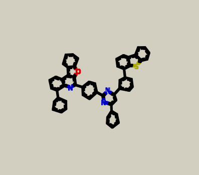 c1ccc(-c2cc(-c3cccc(-c4cccc5c4sc4ccccc45)c3)nc(-c3ccc(-c4nc5c(-c6ccccc6)cccc5c5c4oc4ccccc45)cc3)n2)cc1